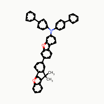 CC1(C)c2cc(-c3ccc4c(c3)oc3cc(N(c5ccc(-c6ccccc6)cc5)c5ccc(-c6ccccc6)cc5)ccc34)ccc2-c2oc3ccccc3c21